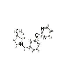 CC1CCN(Cc2cccc(Oc3ncccn3)c2)C1